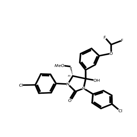 COC[C@H]1N(c2ccc(Cl)cc2)C(=O)N(c2ccc(Cl)cc2)C1(O)c1cccc(OC(F)F)c1